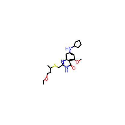 CCOCCC(C)SCc1nc2cc(NC3CCCC3)cc(OC)c2c(=O)[nH]1